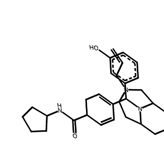 C=CCN1CCC2CCCC(C1)N2C(C1=CCC(C(=O)NC2CCCC2)C=C1)c1cccc(O)c1